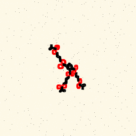 C=C(C)C(=O)OCCCCOC(=O)c1ccc(C(=O)OCCCCOC(=O)C(=C)C)c(C(=O)OCCCCOC(=O)C(=C)C)c1